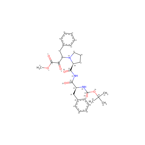 COC(=O)C(=O)C(Cc1ccccc1)N1CCC[C@H]1C(=O)NC(=O)[C@H](Cc1ccccc1)NC(=O)OC(C)(C)C